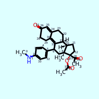 CNc1ccc(C2C[C@@]3(C)[C@@H](CC[C@]3(OC(C)=O)C(C)=O)[C@@H]3CCC4=CC(=O)CCC4=C23)cc1